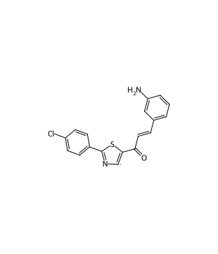 Nc1cccc(C=CC(=O)c2[c]nc(-c3ccc(Cl)cc3)s2)c1